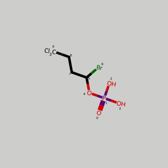 O=P(O)(O)OC(Br)CCC(Cl)(Cl)Cl